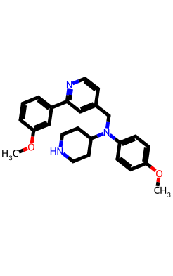 COc1ccc(N(Cc2ccnc(-c3cccc(OC)c3)c2)C2CCNCC2)cc1